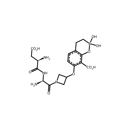 N[C@H](CC(=O)O)C(=O)N[C@H](N)C(=O)N1CC(Oc2ccc3c(c2C(=O)O)O[B-](O)(O)CC3)C1